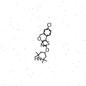 CC1(C)CC(Oc2nc3c(s2)-c2ccc(Cl)cc2CO3)CC(C)(C)N1